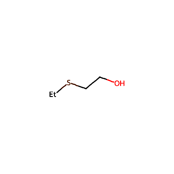 [CH2]CSCCO